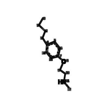 CCCCc1ccc(OCCNC)cc1